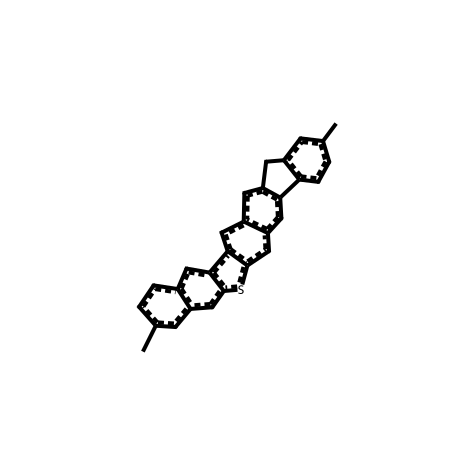 Cc1ccc2c(c1)Cc1cc3cc4c(cc3cc1-2)sc1cc2cc(C)ccc2cc14